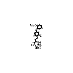 COc1ccccc1Sc1ccc(CCC(CO)NC(=O)OC(C)(C)C)c(Cl)c1